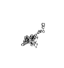 CN(C)CC[C@H](CSc1ccccc1)Nc1ccc(S(=O)(=O)NC(=O)c2ccc(C3=CCN(CC4=C(c5ccc(Cl)cc5)CCCC4)CC3)cc2)cc1S(=O)(=O)C(F)(F)F